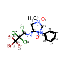 C[N+]1([O-])CC(=NC(Cl)C(Cl)(Cl)C(Br)(Br)Br)[N+]([O-])(c2ccccc2)C1